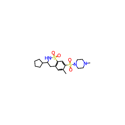 Cc1cc2c(cc1S(=O)(=O)N1CCN(C)CC1)S(=O)(=O)NC(C1CCCC1)C2